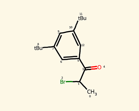 CC(Br)C(=O)c1cc(C(C)(C)C)[c]c(C(C)(C)C)c1